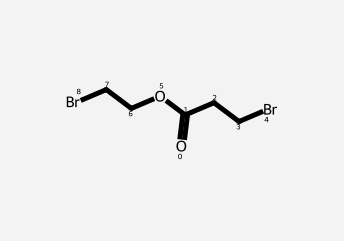 O=C(CCBr)OCCBr